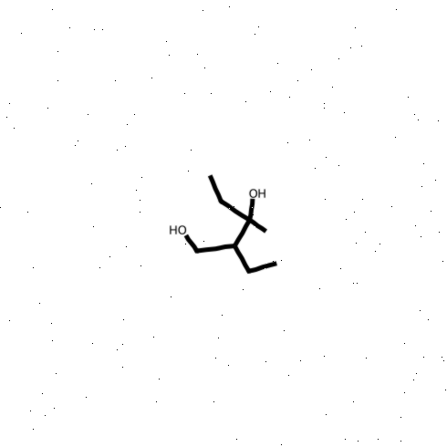 CCC(CO)C(C)(O)CC